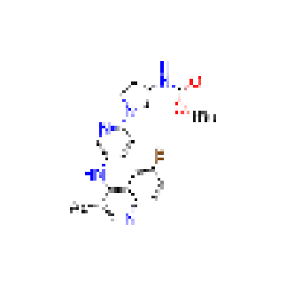 CC(=O)c1cnc2ccc(Br)cc2c1Nc1ccc(N2CCC(NC(=O)OC(C)(C)C)C2)nc1